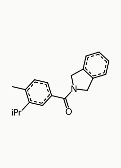 Cc1ccc(C(=O)N2Cc3ccccc3C2)cc1C(C)C